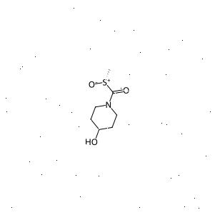 C[S@@+]([O-])C(=O)N1CCC(O)CC1